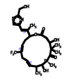 C/C(=C\c1csc(CO)n1)C1C/C=C(/C(F)(F)F)C/C=C/C(C)C(O)[C@@H](C)C(=O)C(C)(C)C(O)CC(=O)O1